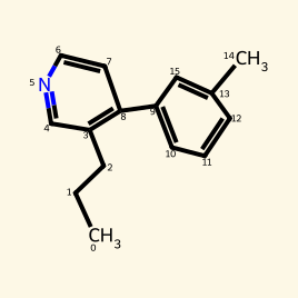 CCCc1cnccc1-c1cccc(C)c1